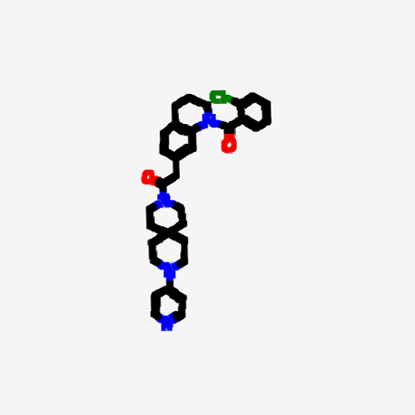 O=C(Cc1ccc2c(c1)N(C(=O)c1ccccc1Cl)CCC2)N1CCC2(CC1)CCN(c1ccncc1)CC2